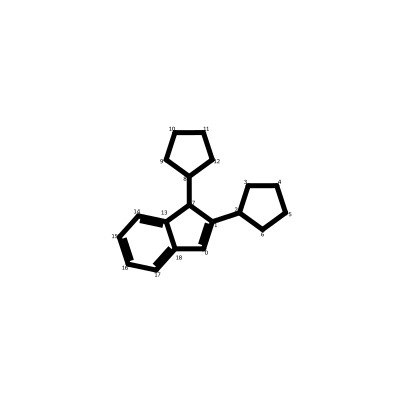 C1=C(C2CCCC2)C(C2CCCC2)c2ccccc21